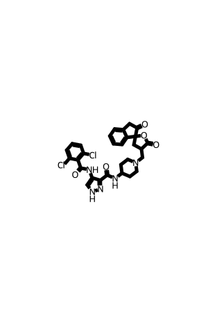 O=C(NC1CCN(CC2CC3(OC2=O)C(=O)Cc2ccccc23)CC1)c1n[nH]cc1NC(=O)c1c(Cl)cccc1Cl